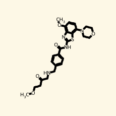 COCCC(=O)CNCc1ccc(C(=O)Nc2nc3c(OC)ccc(N4CCOCC4)c3s2)cc1